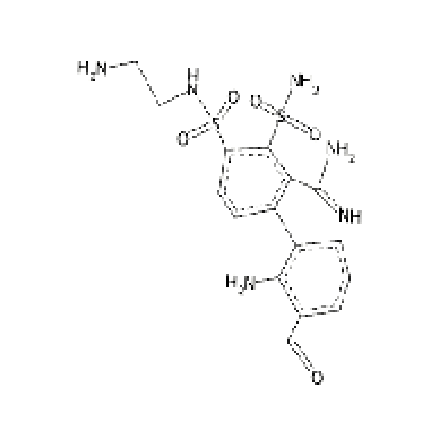 N=C(N)c1c(-c2cccc(C=O)c2N)ccc(S(=O)(=O)NCCN)c1S(N)(=O)=O